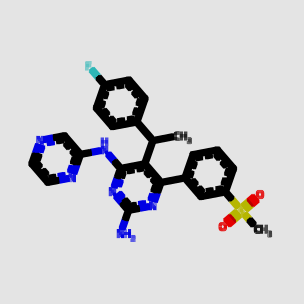 CC(c1ccc(F)cc1)c1c(Nc2cnccn2)nc(N)nc1-c1cccc(S(C)(=O)=O)c1